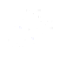 CC(C)(C)c1ccc2c(c1)B1c3cc(C(C)(C)C)ccc3N(c3ccccc3)c3cc(C(C)(C)C)cc(c31)N2c1ccccc1